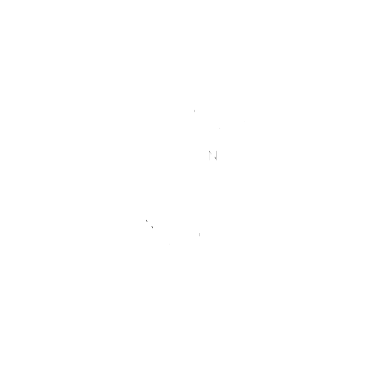 O=c1ccccn1C=CCn1ccccc1=O